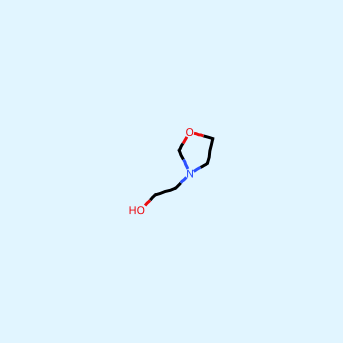 OCCN1CCOC1